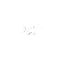 CC(=Cc1ccc(C(=O)O)cc1)c1cc2c(cc1C)C(C)(C)CCC2(C)C.Nc1ccc(O)cc1